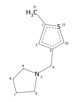 Cc1cc(CN2CCCC2)cs1